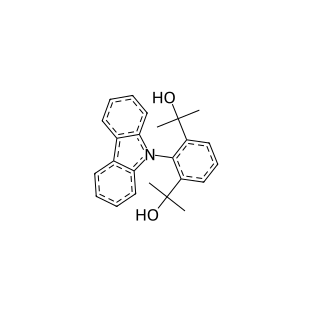 CC(C)(O)c1cccc(C(C)(C)O)c1-n1c2ccccc2c2ccccc21